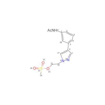 CC(=O)Nc1cccc(-c2cnn(CCOS(C)(=O)=O)c2)c1